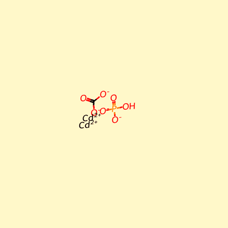 O=C([O-])[O-].O=P([O-])([O-])O.[Cd+2].[Cd+2]